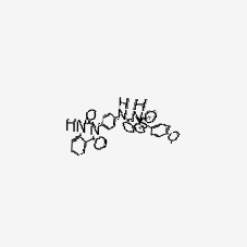 COc1ccc(S(=O)(=O)NC(=O)Nc2ccc(-n3c(=O)[nH]c4ccccc4c3=O)cc2)cc1